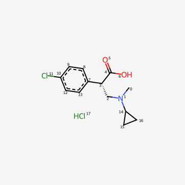 CN(C[C@@H](C(=O)O)c1ccc(Cl)cc1)C1CC1.Cl